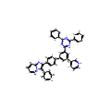 c1ccc(-c2nc(-c3ccccc3)nc(-c3cc(-c4ccc(-c5nc6ccccn6c5-c5ccccc5)cc4)cc(-c4cccnc4)c3)n2)cc1